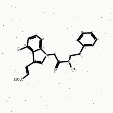 CCOC(=O)C=Cc1cn(CC(=O)N(C)CCc2ccccc2)c2cccc(Br)c12